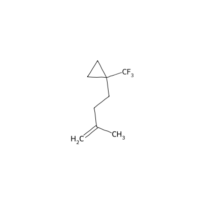 C=C(C)CCC1(C(F)(F)F)CC1